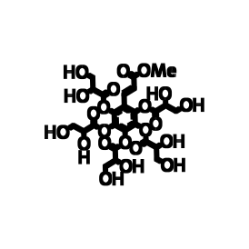 COC(=O)C=Cc1c(OC(=O)C(O)CO)c(OC(=O)C(O)CO)c(OC(=O)C(O)CO)c(OC(=O)C(O)CO)c1OC(=O)C(O)CO